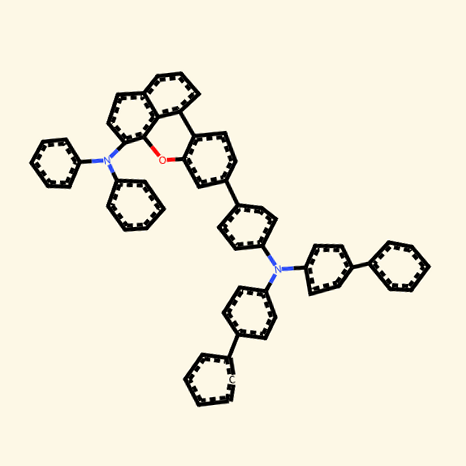 c1ccc(-c2ccc(N(c3ccc(-c4ccccc4)cc3)c3ccc(-c4ccc5c(c4)Oc4c(N(c6ccccc6)c6ccccc6)ccc6cccc-5c46)cc3)cc2)cc1